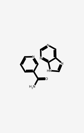 NC(=O)c1cccnc1.c1ncc2nc[nH]c2n1